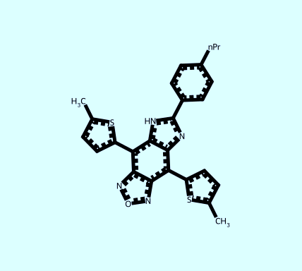 CCCc1ccc(-c2nc3c(-c4ccc(C)s4)c4nonc4c(-c4ccc(C)s4)c3[nH]2)cc1